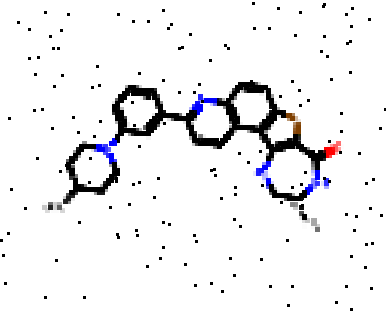 C[C@@H]1CNc2c(sc3ccc4nc(-c5cccc(N6CCC(C=O)CC6)c5)ccc4c23)C(=O)N1